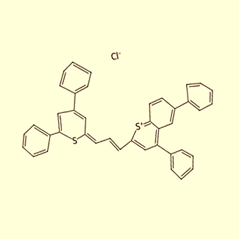 C(=Cc1cc(-c2ccccc2)c2cc(-c3ccccc3)ccc2[s+]1)C=C1C=C(c2ccccc2)C=C(c2ccccc2)S1.[Cl-]